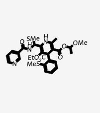 CCOC(=O)C1=C(C(NC(=O)c2cccnc2)SC)NC(C)=C(C(=O)OC(C)OC)C1c1ccccc1SC